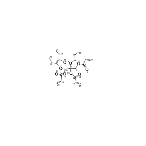 C=CC(=O)OCC(OCCC)(OC(=O)C=C)C(OCCC)(OCCC)OC(=O)C=C